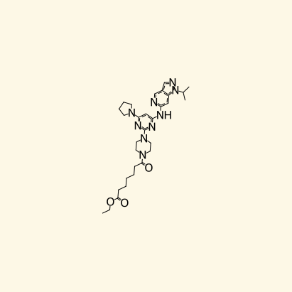 CCOC(=O)CCCCCC(=O)N1CCN(c2nc(Nc3cc4c(cn3)cnn4C(C)C)cc(N3CCCC3)n2)CC1